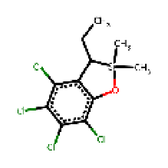 CCC1c2c(Cl)c(Cl)c(Cl)c(Cl)c2O[Si]1(C)C